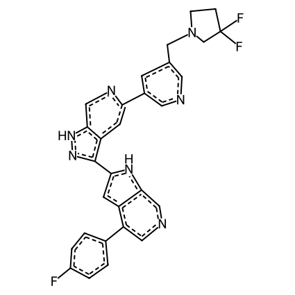 Fc1ccc(-c2cncc3[nH]c(-c4n[nH]c5cnc(-c6cncc(CN7CCC(F)(F)C7)c6)cc45)cc23)cc1